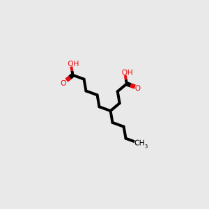 CCCCC(CCCCC(=O)O)CCC(=O)O